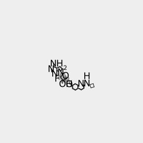 Nc1ncnc2c1ccn2[C@@H]1O[C@H](COc2ccc3ccc(NC4CCC4)nc3c2)[C@@H](O)[C@@H]1F